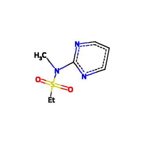 CCS(=O)(=O)N(C)c1ncccn1